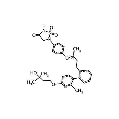 Cc1nc(OCCC(C)(C)O)ccc1-c1ccccc1CC[C@H](C)Oc1ccc(N2CC(=O)NS2(=O)=O)cc1